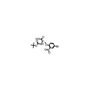 CC(C)(C)OC(=O)N[C@@H](COc1ccc(Br)cc1[N+](=O)[O-])C(=O)O